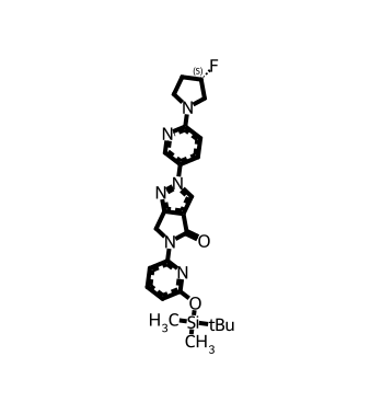 CC(C)(C)[Si](C)(C)Oc1cccc(N2Cc3nn(-c4ccc(N5CC[C@H](F)C5)nc4)cc3C2=O)n1